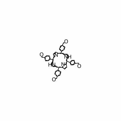 O=Cc1ccc(-c2c3nc(c(-c4ccc(C=O)cc4)c4ccc([nH]4)c(-c4ccc(C=O)cc4)c4nc(c(-c5ccc(C=O)cc5)c5ccc2[nH]5)C=C4)C=C3)cc1